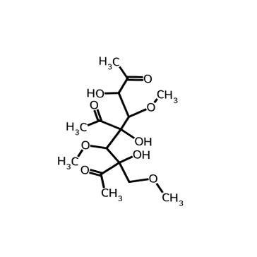 COCC(O)(C(C)=O)C(OC)C(O)(C(C)=O)C(OC)C(O)C(C)=O